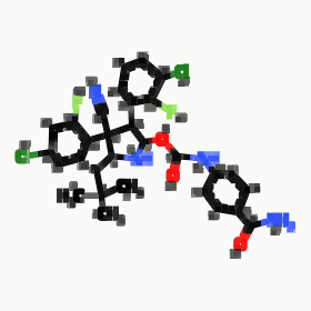 CC(C)(C)CC1NC(OC(=O)Nc2ccc(C(N)=O)cc2)C(c2cccc(Cl)c2F)C1(C#N)c1ccc(Cl)cc1F